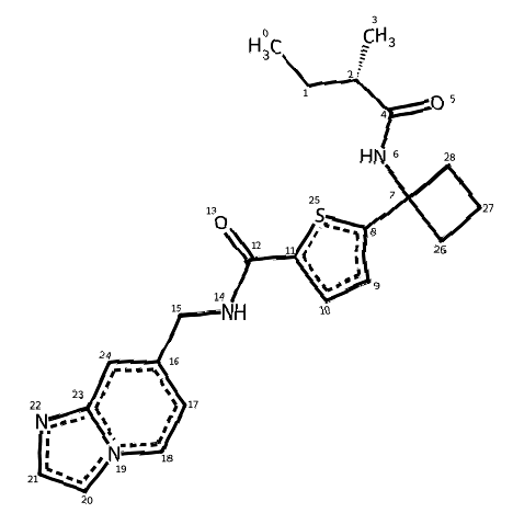 CC[C@H](C)C(=O)NC1(c2ccc(C(=O)NCc3ccn4ccnc4c3)s2)CCC1